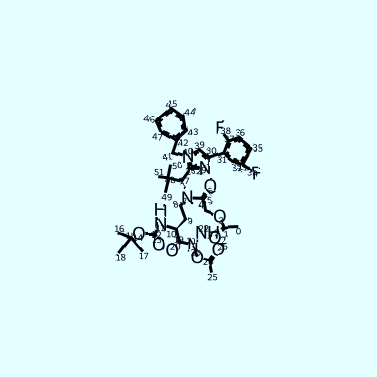 CC(=O)OCC(=O)N(CC[C@H](NC(=O)OC(C)(C)C)C(=O)N(N)OC(C)=O)[C@@H](c1nc(-c2cc(F)ccc2F)cn1Cc1ccccc1)C(C)(C)C